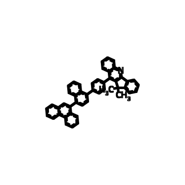 CC1(C)c2ccccc2-c2nc3ccccc3c(-c3ccc(-c4ccc(-c5cc6ccccc6c6ccccc56)c5ccccc45)cc3)c21